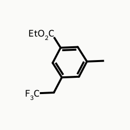 CCOC(=O)c1cc(C)cc(CC(F)(F)F)c1